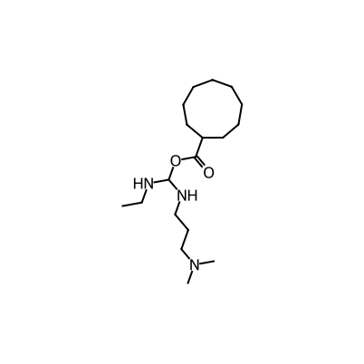 CCNC(NCCCN(C)C)OC(=O)C1CCCCCCCC1